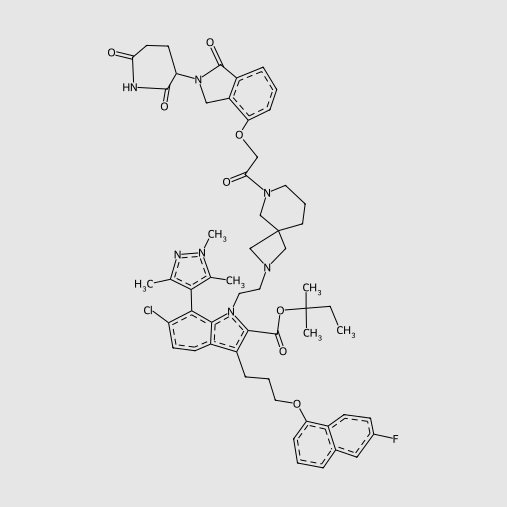 CCC(C)(C)OC(=O)c1c(CCCOc2cccc3cc(F)ccc23)c2ccc(Cl)c(-c3c(C)nn(C)c3C)c2n1CCN1CC2(CCCN(C(=O)COc3cccc4c3CN(C3CCC(=O)NC3=O)C4=O)C2)C1